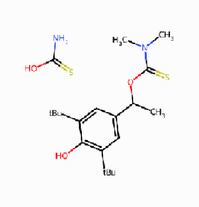 CC(OC(=S)N(C)C)c1cc(C(C)(C)C)c(O)c(C(C)(C)C)c1.NC(O)=S